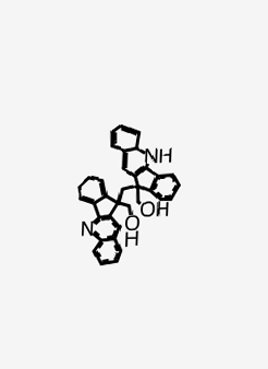 OCC1(CC2(CO)C3=CCCC=C3c3nc4ccccc4cc32)C2=C(NC3C=CC=CC3=C2)c2ccccc21